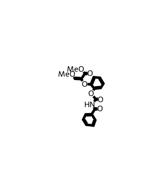 COC=C(Oc1ccccc1OC(=O)NC(=O)c1ccccc1)C(=O)OC